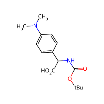 CN(C)c1ccc(C(NC(=O)OC(C)(C)C)C(=O)O)cc1